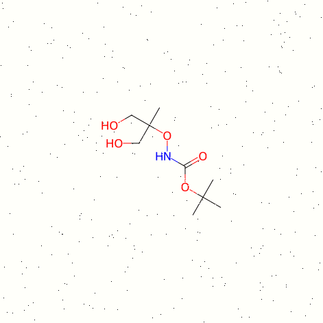 CC(C)(C)OC(=O)NOC(C)(CO)CO